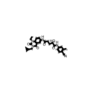 CCn1c(=O)n(CC2CC2)c(=O)c2cc(NC(=O)CC[C@@H](O)C(=O)Nc3ccc(C#N)c(C)c3)ccc21